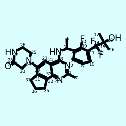 Cc1nc(NC(C)c2cccc(C(F)(F)C(C)(C)O)c2F)c2cc(N3CCNC(=O)C3)c3c(c2n1)CCC3